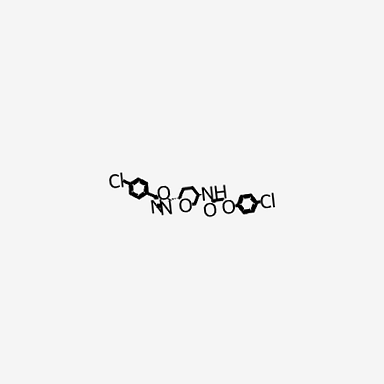 O=C(COc1ccc(Cl)cc1)N[C@H]1CC[C@@H](c2nnc(-c3ccc(Cl)cc3)o2)OC1